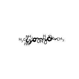 CCCOc1ccc(C(=O)NCCC(O)Cc2ccc(-c3c[nH]c(CC(C)CN)n3)cc2)cc1Cl